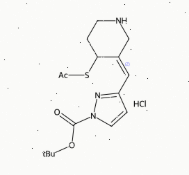 CC(=O)SC1CCNC/C1=C/c1ccn(C(=O)OC(C)(C)C)n1.Cl